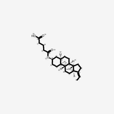 C/C=C1/CC[C@H]2[C@@H]3CC[C@@H]4C[C@H](OC(=O)CCCC(=O)O)CC[C@]4(C)[C@H]3CC[C@]12C